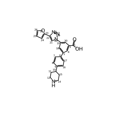 O=C(O)c1cc(-c2ccc(C3CCNCC3)cc2)cc(-n2cc(-c3ccco3)nn2)c1